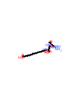 CC(=O)[C@H](CCCNC(=N)N)NC(=O)CCC(NC(=O)CCCCCCCCCCCCCCCCCCC(=O)O)C(=O)O